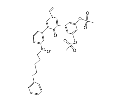 C=Cn1cc(-c2cc(OS(C)(=O)=O)cc(OS(C)(=O)=O)c2)c(=O)c(-c2cccc([S+]([O-])CCCCCc3ccccc3)c2)c1